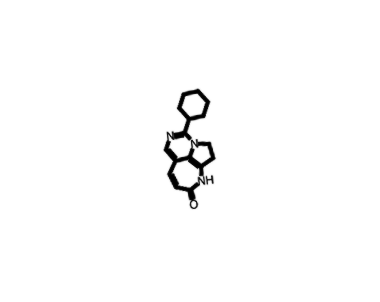 O=C1C=CC2=CN=C(C3CCCCC3)N3CCC(=C23)N1